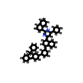 CC1(c2ccccc2)c2ccccc2-c2ccc(-c3cccc(-c4ccc(-c5cc(-c6ccccc6)nc(-c6cccc7ccccc67)n5)c5ccccc45)c3)cc21